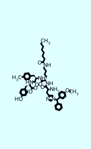 CCCCCCCC(=O)NCCCC[C@H](NC(=O)[C@@H](N)Cc1cn(C(c2ccccc2)c2ccc(OC)cc2)cn1)C(=O)N[C@H](Cc1ccc(C)cc1)C(=O)N[C@@H](Cc1ccc(O)cc1)C(=O)O